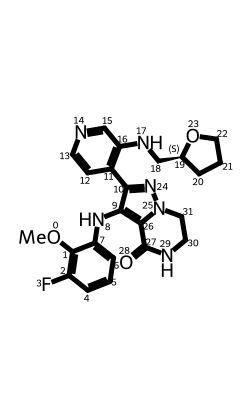 COc1c(F)cccc1Nc1c(-c2ccncc2NC[C@@H]2CCCO2)nn2c1C(=O)NCC2